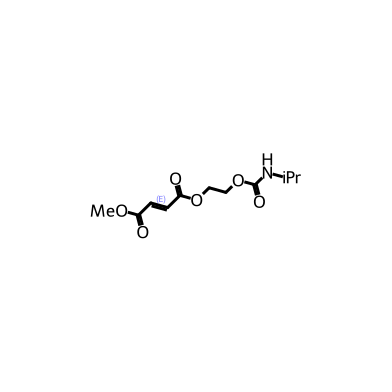 COC(=O)/C=C/C(=O)OCCOC(=O)NC(C)C